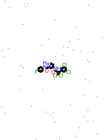 O=C(Nc1ccc(F)cc1)c1cc(NC(=O)C2C(c3cc(Cl)cc(Cl)c3)C2(Cl)Cl)ccn1